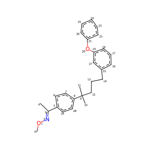 CON=C(C)c1ccc(C(C)(C)CCCc2cccc(Oc3ccccc3)c2)cc1